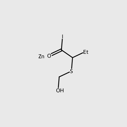 CCC(SCO)C(=O)I.[Zn]